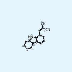 N#CC(C#N)=Cc1cccc2c1[nH]c1ccccc12